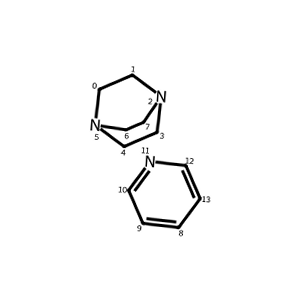 C1CN2CCN1CC2.c1ccncc1